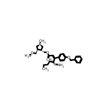 C=C(/C=C(\C(CCCC)=N/N)c1ccc(OCc2ccccc2)cc1)OC[C@H]1CN(C)C[C@@H]1COC